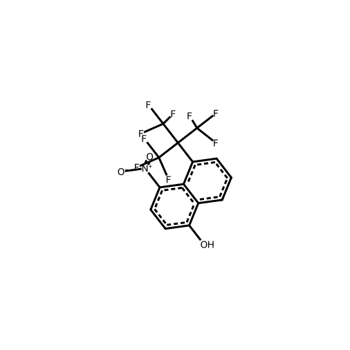 O=[N+]([O-])c1ccc(O)c2cccc(C(C(F)(F)F)(C(F)(F)F)C(F)(F)F)c12